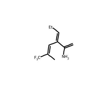 C=C(N)C(=C/CC)/C=C(\C)C(F)(F)F